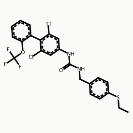 CCSc1ccc(CNC(=O)Nc2cc(Cl)c(-c3ccccc3OC(F)(F)F)c(Cl)c2)cc1